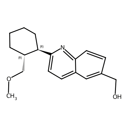 COC[C@@H]1CCCC[C@H]1c1ccc2cc(CO)ccc2n1